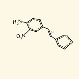 Nc1ccc(/C=C/c2ccccc2)cc1[N+](=O)[O-]